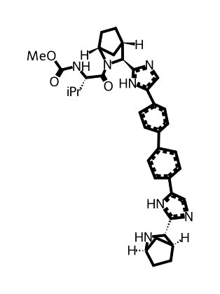 COC(=O)N[C@H](C(=O)N1[C@@H]2CC[C@@H](C2)[C@H]1c1ncc(-c2ccc(-c3ccc(-c4cnc([C@H]5N[C@@H]6CC[C@H]5C6)[nH]4)cc3)cc2)[nH]1)C(C)C